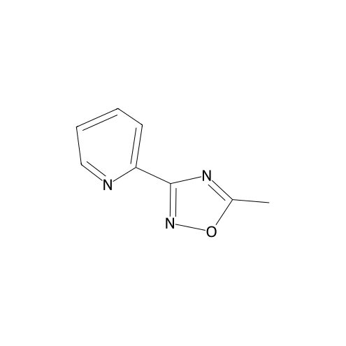 Cc1nc(-c2ccccn2)no1